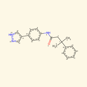 CC(C)(CC(=O)Nc1ccc(-c2cn[nH]c2)cc1)c1ccccc1